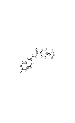 Cc1ccc2cc(/C=C/C(=O)N3CCN(C4COC4)CC3)ccc2n1